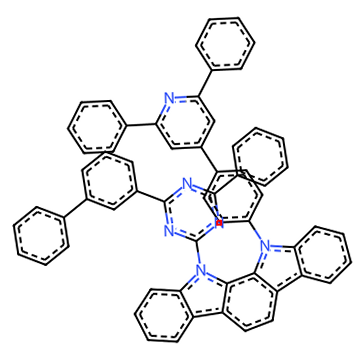 c1ccc(-c2cccc(-c3nc(-c4ccccc4)nc(-n4c5ccccc5c5ccc6c7ccccc7n(-c7ccc(-c8cc(-c9ccccc9)nc(-c9ccccc9)c8)cc7)c6c54)n3)c2)cc1